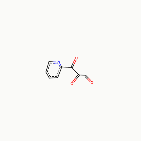 O=CC(=O)C(=O)c1ccccn1